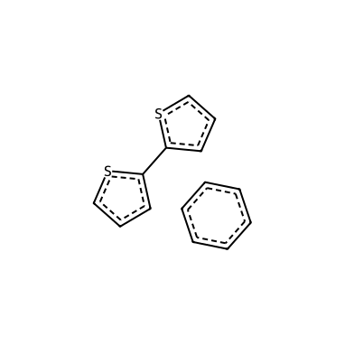 c1ccccc1.c1csc(-c2cccs2)c1